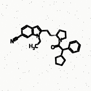 CCn1c(CC[C@@H]2CCCN2C(=O)C(c2ccccc2)C2CCCC2)cc2ccc(C#N)cc21